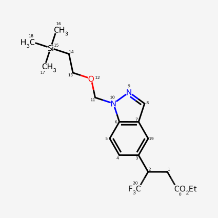 CCOC(=O)CC(c1ccc2c(cnn2COCC[Si](C)(C)C)c1)C(F)(F)F